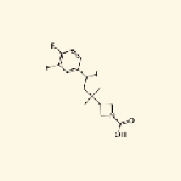 CC(C)(CC(F)c1ccc(F)c(F)c1)C1CN(C(=O)O)C1